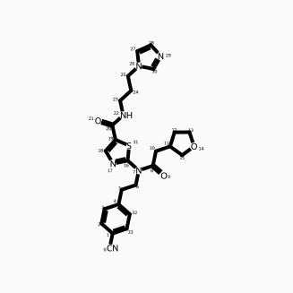 N#Cc1ccc(CCN(C(=O)CC2CCOC2)c2ncc(C(=O)NCCCn3ccnc3)s2)cc1